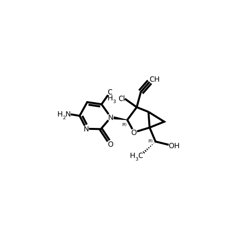 C#CC1(Cl)C2CC2([C@@H](C)O)O[C@H]1n1c(C)cc(N)nc1=O